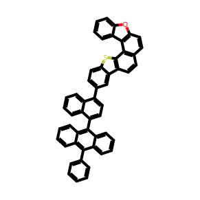 c1ccc(-c2c3ccccc3c(-c3ccc(-c4ccc5sc6c(ccc7ccc8oc9ccccc9c8c76)c5c4)c4ccccc34)c3ccccc23)cc1